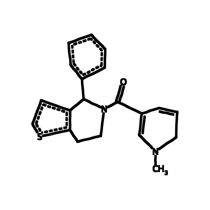 CN1C=C(C(=O)N2CCc3sccc3C2c2ccccc2)C=CC1